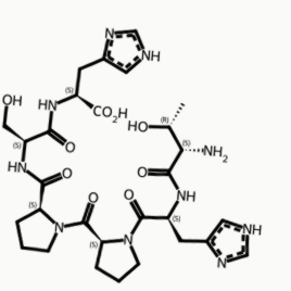 C[C@@H](O)[C@H](N)C(=O)N[C@@H](Cc1c[nH]cn1)C(=O)N1CCC[C@H]1C(=O)N1CCC[C@H]1C(=O)N[C@@H](CO)C(=O)N[C@@H](Cc1c[nH]cn1)C(=O)O